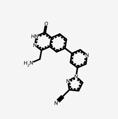 N#Cc1ccn(-c2cncc(-c3ccc4c(=O)[nH]nc(CN)c4c3)c2)n1